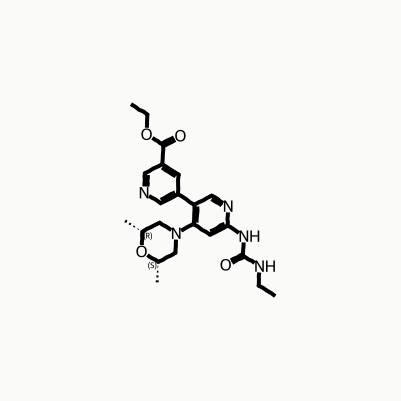 CCNC(=O)Nc1cc(N2C[C@@H](C)O[C@@H](C)C2)c(-c2cncc(C(=O)OCC)c2)cn1